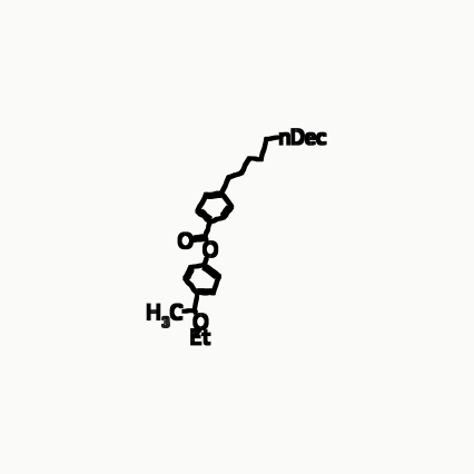 CCCCCCCCCCCCCCCc1ccc(C(=O)Oc2ccc(C(C)OCC)cc2)cc1